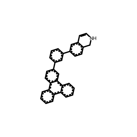 C1=Cc2cc(-c3cccc(-c4ccc5c6ccccc6c6ccccc6c5c4)c3)ccc2CN1